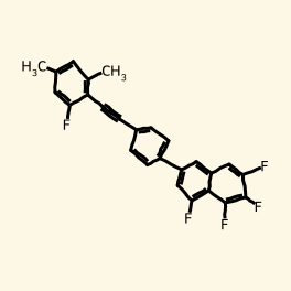 Cc1cc(C)c(C#Cc2ccc(-c3cc(F)c4c(F)c(F)c(F)cc4c3)cc2)c(F)c1